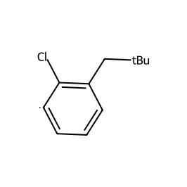 CC(C)(C)Cc1ccc[c]c1Cl